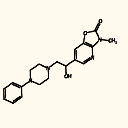 Cn1c(=O)oc2cc(C(O)CN3CCN(c4ccccc4)CC3)cnc21